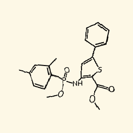 COC(=O)c1sc(-c2ccccc2)cc1NP(=O)(OC)c1ccc(C)cc1C